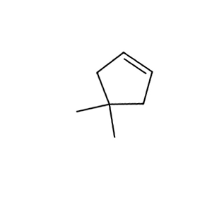 CC1(C)CC=CC1